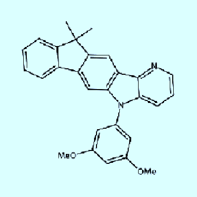 COc1cc(OC)cc(-n2c3cc4c(cc3c3ncccc32)C(C)(C)c2ccccc2-4)c1